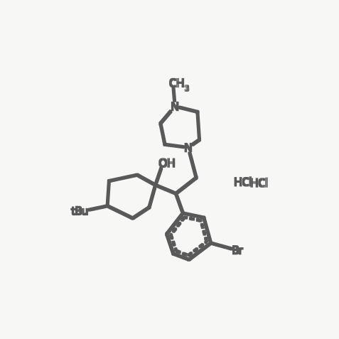 CN1CCN(CC(c2cccc(Br)c2)C2(O)CCC(C(C)(C)C)CC2)CC1.Cl.Cl